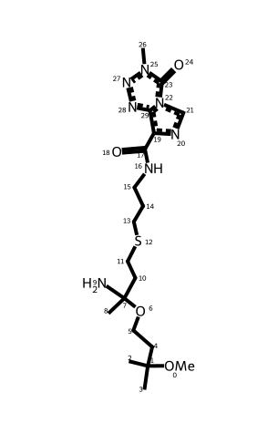 COC(C)(C)CCOC(C)(N)CCSCCCNC(=O)c1ncn2c(=O)n(C)nnc12